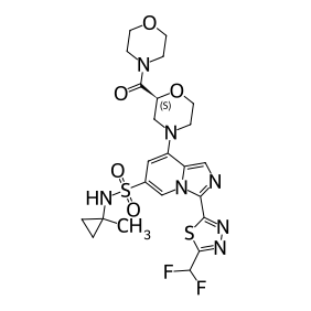 CC1(NS(=O)(=O)c2cc(N3CCO[C@H](C(=O)N4CCOCC4)C3)c3cnc(-c4nnc(C(F)F)s4)n3c2)CC1